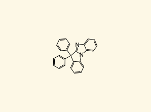 c1ccc(C2(c3ccccc3)c3ccccc3-n3c2nc2ccccc23)cc1